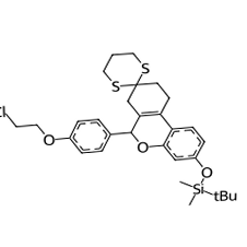 CC(C)(C)[Si](C)(C)Oc1ccc2c(c1)OC(c1ccc(OCCCl)cc1)C1=C2CCC2(C1)SCCCS2